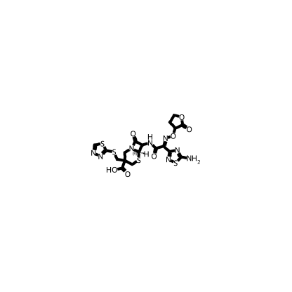 Nc1nc(C(=NOC2CCOC2=O)C(=O)NC2C(=O)N3CC(CSc4nncs4)(C(=O)O)CS[C@H]23)ns1